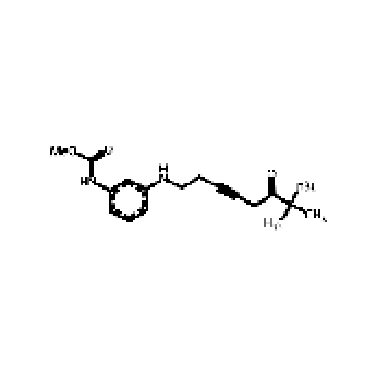 CCCCC(C)(C)C(=O)CC#CCCNc1cccc(NC(=O)OC)c1